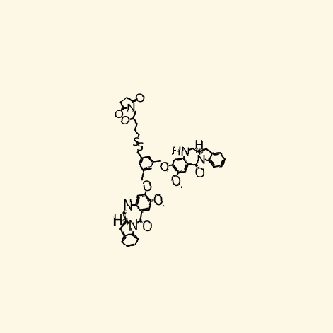 COc1cc2c(cc1OCc1cc(COc3cc4c(cc3OC)C(=O)N3c5ccccc5C[C@H]3CN4)cc(CSSCCCC(=O)CN3C(=O)CCC3=O)c1)N=C[C@@H]1Cc3ccccc3N1C2=O